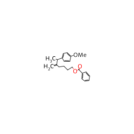 C=C(CCCCOC(=O)c1ccccc1)C(C)c1ccc(OC)cc1